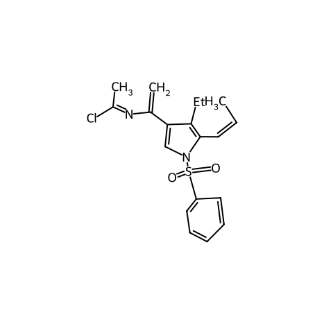 C=C(/N=C(\C)Cl)c1cn(S(=O)(=O)c2ccccc2)c(/C=C\C)c1CC